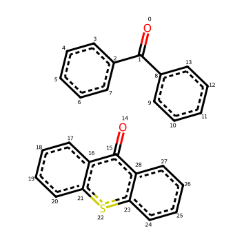 O=C(c1ccccc1)c1ccccc1.O=c1c2ccccc2sc2ccccc12